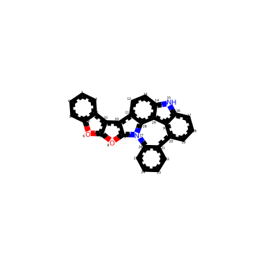 c1ccc2c(c1)oc1oc3c(c4ccc5[nH]c6cccc7c8ccccc8n3c4c5c67)c12